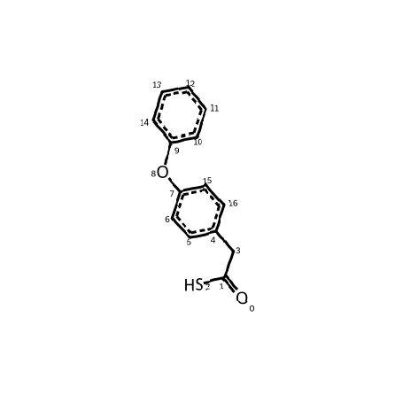 O=C(S)Cc1ccc(Oc2ccccc2)cc1